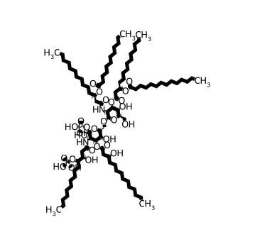 CCCCCCCCCCCCCC(=O)O[C@H](CCCCCCCCCCC)CC(=O)O[C@H]1[C@H](O)[C@@H](CO)O[C@@H](OC[C@H]2O[C@@](O)(OP(=O)(O)O)[C@H](NC(=O)C[C@@H](O)C(CCCCCCCCCC)OP(=O)(O)O)[C@@H](OC(=O)C[C@H](O)CCCCCCCCCCC)[C@@H]2O)[C@@H]1NC(=O)C[C@@H](CCCCCCCCCCC)OC(=O)CCCCCCCCCCC